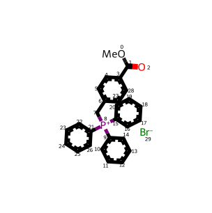 COC(=O)c1ccc(C[P+](c2ccccc2)(c2ccccc2)c2ccccc2)cc1.[Br-]